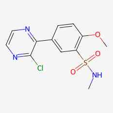 CNS(=O)(=O)c1cc(-c2nccnc2Cl)ccc1OC